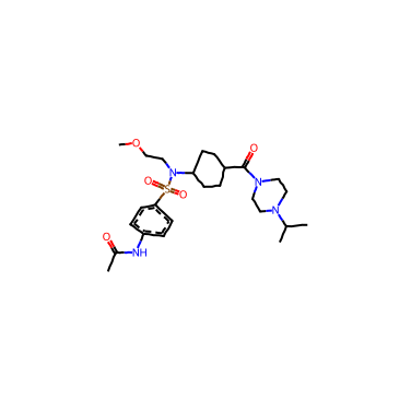 COCCN(C1CCC(C(=O)N2CCN(C(C)C)CC2)CC1)S(=O)(=O)c1ccc(NC(C)=O)cc1